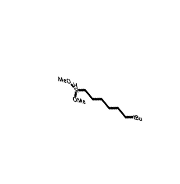 CO[SiH](CCCCCCC(C)(C)C)OC